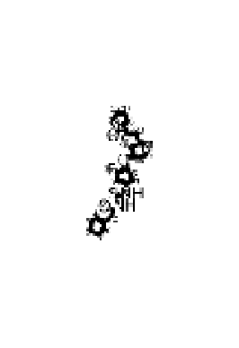 O=C(Cc1ccccc1)NC(=S)Nc1ccc(Oc2ccnc3cc(-c4cccc[n+]4[O-])sc23)c(F)c1